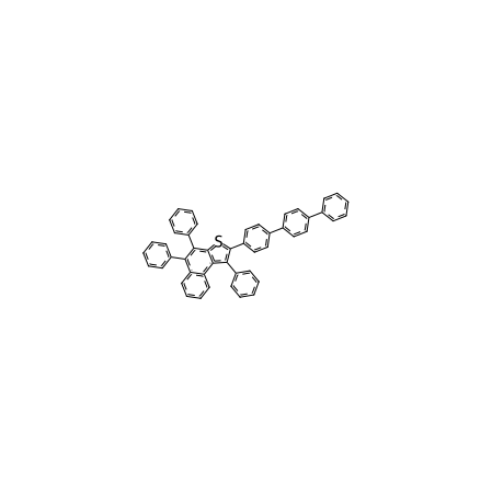 c1ccc(-c2ccc(-c3ccc(-c4sc5c(-c6ccccc6)c(-c6ccccc6)c6ccccc6c5c4-c4ccccc4)cc3)cc2)cc1